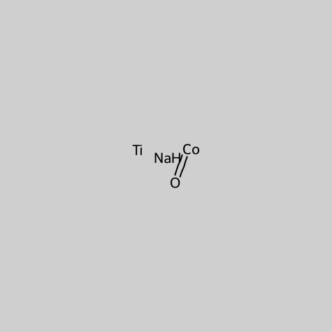 [NaH].[O]=[Co].[Ti]